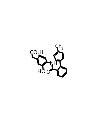 O=C(O)Cc1ccc(NC(=O)c2ccccc2-c2ccc(C(F)(F)F)cc2)c(O)c1